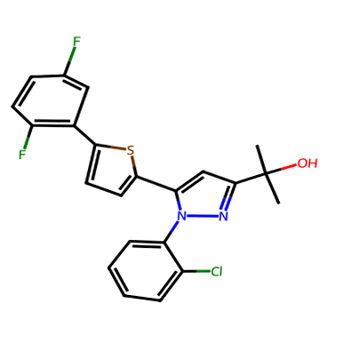 CC(C)(O)c1cc(-c2ccc(-c3cc(F)ccc3F)s2)n(-c2ccccc2Cl)n1